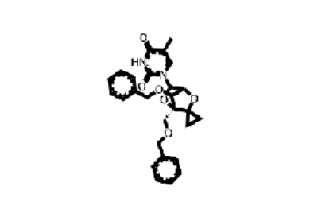 Cc1cn(C2O[C@@]3(COCc4ccccc4)C(OCc4ccccc4)C2OC32CC2)c(=O)[nH]c1=O